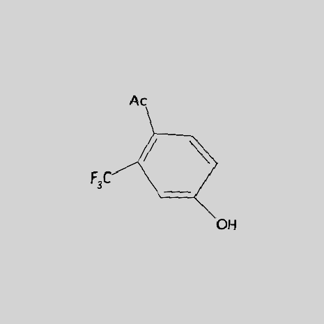 CC(=O)c1ccc(O)cc1C(F)(F)F